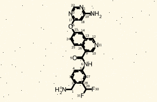 NCc1ccc(NC(=O)c2cncc3cc(Oc4cc(N)ncn4)ccc23)cc1C(F)F